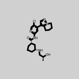 C[C@H](O)CN[C@@H]1CCC[C@H](C(=O)Nc2cc(-c3cnn4c3CCCC4)c(Cl)cn2)C1